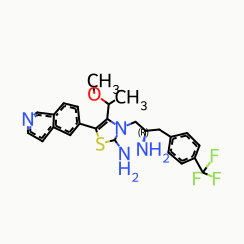 COC(C)C1=C(c2ccc3cnccc3c2)SC(N)N1C[C@H](N)Cc1ccc(C(F)(F)F)cc1